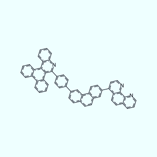 c1cnc2c(c1)ccc1c(-c3ccc4c(ccc5ccc(-c6ccc(-c7nc8ccccc8c8c9ccccc9c9ccccc9c78)cc6)cc54)c3)ccnc12